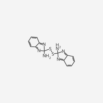 NC1(SSC2(N)N=c3ccccc3=N2)N=c2ccccc2=N1